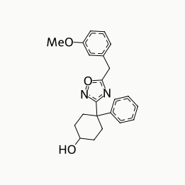 COc1cccc(Cc2nc(C3(c4ccccc4)CCC(O)CC3)no2)c1